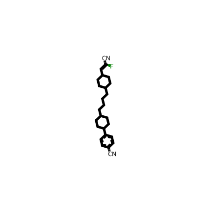 N#CC(F)=CC1CCC(CCCCC2CCC(c3ccc(C#N)cc3)CC2)CC1